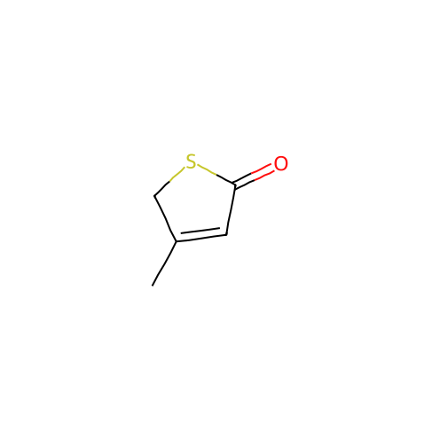 CC1=CC(=O)SC1